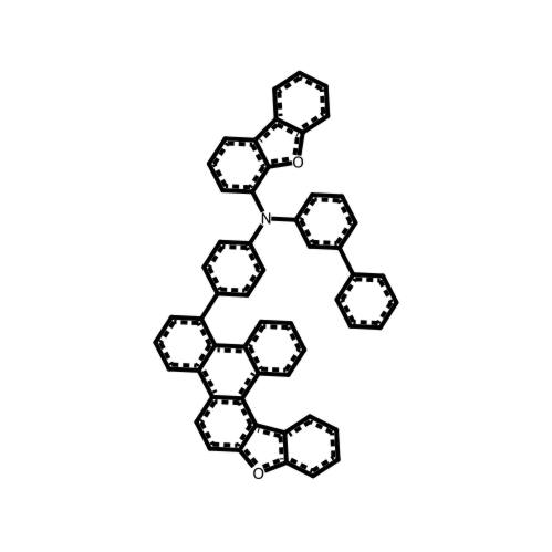 c1ccc(-c2cccc(N(c3ccc(-c4cccc5c6ccc7oc8ccccc8c7c6c6ccccc6c45)cc3)c3cccc4c3oc3ccccc34)c2)cc1